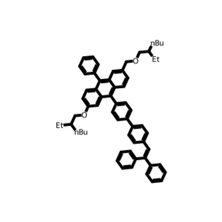 CCCCC(CC)COCc1ccc2c(-c3ccc(-c4ccc(C=C(c5ccccc5)c5ccccc5)cc4)cc3)c3cc(OCC(CC)CCCC)ccc3c(-c3ccccc3)c2c1